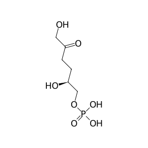 O=C(CO)CC[C@H](O)COP(=O)(O)O